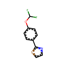 FC(F)Oc1ccc(-c2nccs2)cc1